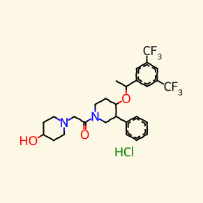 CC(OC1CCN(C(=O)CN2CCC(O)CC2)CC1c1ccccc1)c1cc(C(F)(F)F)cc(C(F)(F)F)c1.Cl